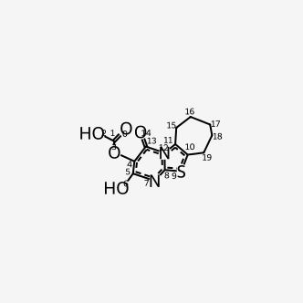 O=C(O)Oc1c(O)nc2sc3c(n2c1=O)CCCCC3